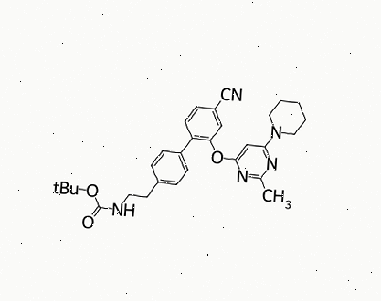 Cc1nc(Oc2cc(C#N)ccc2-c2ccc(CCNC(=O)OC(C)(C)C)cc2)cc(N2CCCCC2)n1